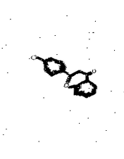 O=C1C[C@H](c2ccc(Cl)cc2)Oc2ccccc21